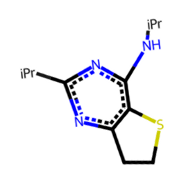 CC(C)Nc1nc(C(C)C)nc2c1SCC2